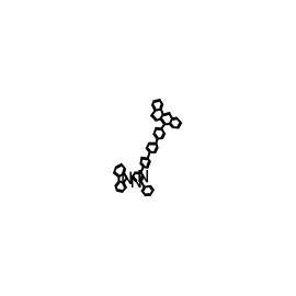 c1ccc(-c2nc(-c3ccc(-c4ccc(-c5ccc(-c6c7ccccc7cc7c6ccc6ccccc67)cc5)cc4)cc3)cc(-n3c4ccccc4c4ccccc43)n2)cc1